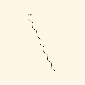 [CH2]CCCCCCCCCCCCCS